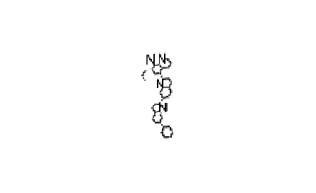 C=Nc1c(/C=C\C)cc(-c2ccc3ccc(-c4ccc5ccc(-c6ccccc6)cc5n4)cc3n2)c2cccnc12